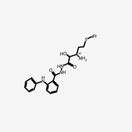 CC(C)SCC[C@@H](N)C(O)C(=O)NNC(=O)c1ccccc1Nc1ccccc1